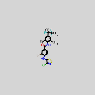 CCc1cc(C(F)(C(F)(F)F)C(F)(F)C(F)(F)F)cc(C)c1NC(=O)C1=CC(Br)C(NC2SSN=C2Cl)C=C1